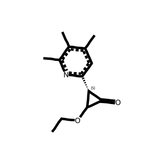 CCOC1C(=O)[C@H]1c1cc(C)c(C)c(C)n1